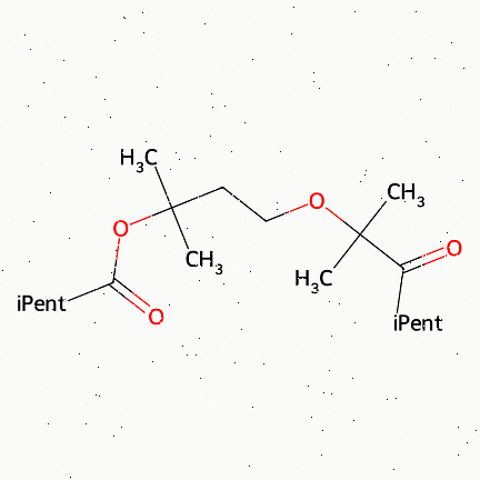 CCCC(C)C(=O)OC(C)(C)CCOC(C)(C)C(=O)C(C)CCC